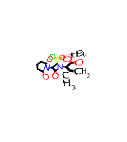 C=C(C)C(C(=O)OC(C)(C)C)N1C(=O)C(N2C(=O)CCCC2=O)C1[S+]([O-])Cl